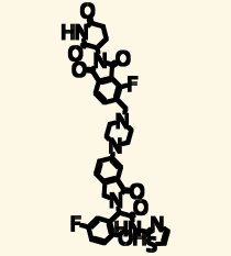 O=C1CCC(N2C(=O)c3ccc(CN4CCN(c5ccc6c(c5)C(=O)N(C(C(=O)Nc5nccs5)c5cc(F)ccc5O)C6)CC4)c(F)c3C2=O)C(=O)N1